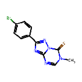 Cn1cnc2nc(-c3ccc(Br)cc3)nn2c1=S